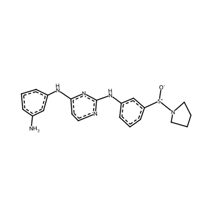 Nc1cccc(Nc2ccnc(Nc3cccc([S+]([O-])N4CCCC4)c3)n2)c1